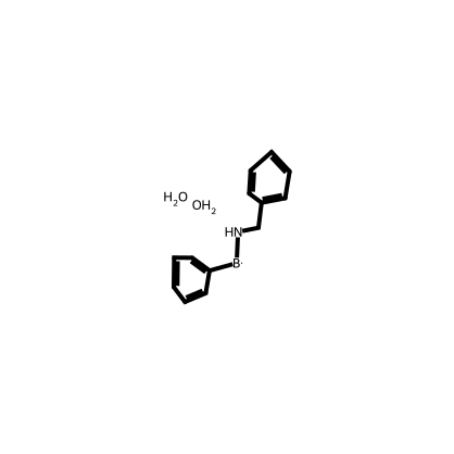 O.O.[B](NCc1ccccc1)c1ccccc1